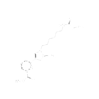 COC(=O)c1cccc(C2=CN(CCCCCCNC(=O)OC(C)(C)C)N(C)C2)n1